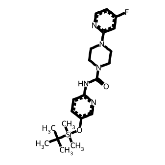 CC(C)(C)[Si](C)(C)Oc1ccc(NC(=O)N2CCN(c3cc(F)ccn3)CC2)nc1